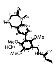 C=CC(=O)NCc1cc(OC)c(OC)c(-c2cnc3c(c2)CN(C)CC(=O)N3C)c1OC.Cl